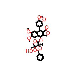 COc1cc2c(O[C@H]3OC[C@@]4(CO)OC(c5ccccc5)O[C@@H]34)c3c(c(-c4ccc5c(c4)OCO5)c2cc1OC)C(=O)OC3